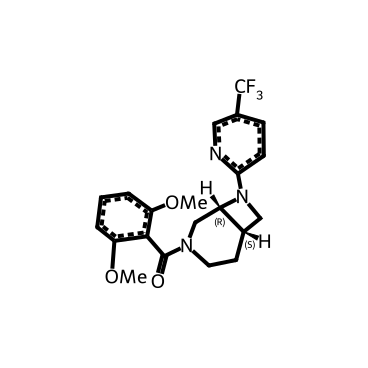 COc1cccc(OC)c1C(=O)N1CC[C@H]2CN(c3ccc(C(F)(F)F)cn3)[C@H]2C1